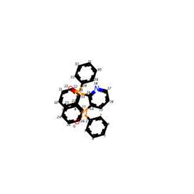 O=P(c1ccccc1)(c1ccccc1)c1cccnc1P(=O)(c1ccccc1)c1ccccc1